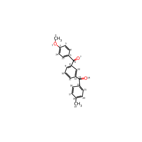 COc1ccc(C(=O)c2cccc(C(=O)c3ccc(C)cc3)c2)cc1